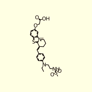 CCN(CCNS(C)(=O)=O)c1ccc(C=C2CCC[n+]3c2sc2ccc(OCC(=O)O)cc23)cc1